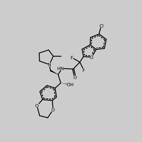 CC1CCCN1C[C@@H](NC(=O)C(F)(F)c1cc2cc(Cl)ccc2o1)[C@H](O)c1ccc2c(c1)OCCO2